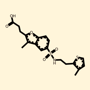 Cc1ccsc1CCNS(=O)(=O)c1ccc2oc(CCC(=O)O)c(C)c2c1